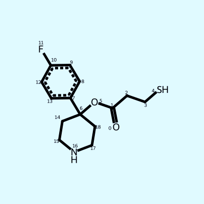 O=C(CCS)OC1(c2ccc(F)cc2)CCNCC1